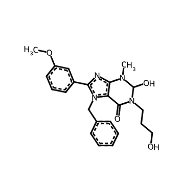 COc1cccc(-c2nc3c(n2Cc2ccccc2)C(=O)N(CCCO)C(O)N3C)c1